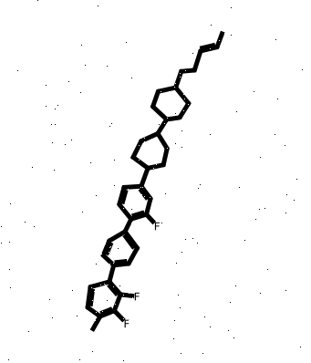 C/C=C/CCC1CCC(C2CCC(c3ccc(-c4ccc(-c5ccc(C)c(F)c5F)cc4)c(F)c3)CC2)CC1